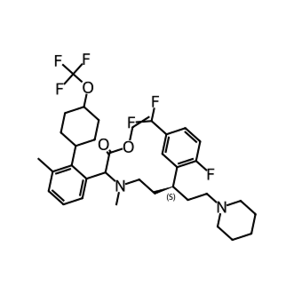 CCOC(=O)C(c1cccc(C)c1C1CCC(OC(F)(F)F)CC1)N(C)CC[C@H](CCN1CCCCC1)c1cc(C(F)F)ccc1F